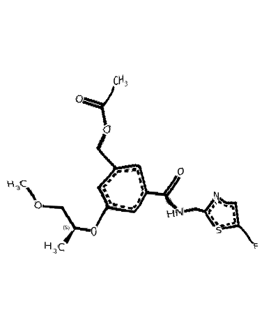 COC[C@H](C)Oc1cc(COC(C)=O)cc(C(=O)Nc2ncc(F)s2)c1